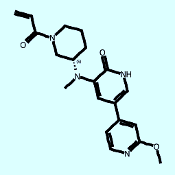 C=CC(=O)N1CCC[C@H](N(C)c2cc(-c3ccnc(OC)c3)c[nH]c2=O)C1